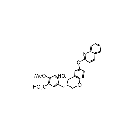 COc1ccc(C[C@H]2COc3ccc(Oc4ccc5ccccc5n4)cc3[C@H]2O)cc1C(=O)O